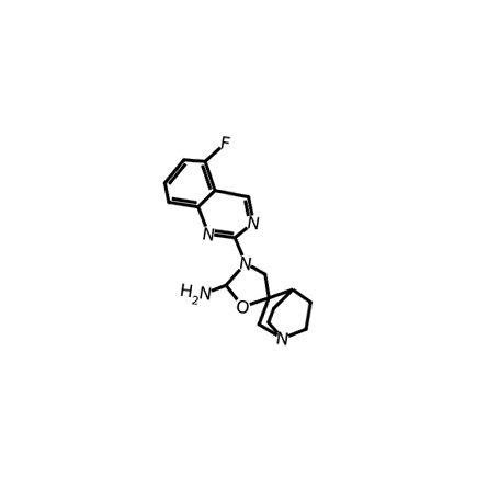 NC1OC2(CN3CCC2CC3)CN1c1ncc2c(F)cccc2n1